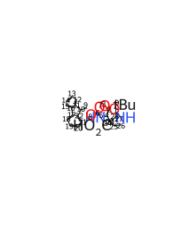 CC(C)(C)OC(=O)C(NC(=O)OCC1c2ccccc2-c2ccccc21)[C@]1(C(=O)O)CCNC1